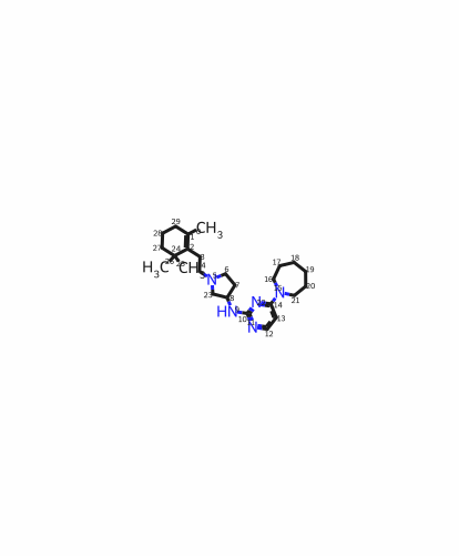 CC1=C(CCN2CCC(Nc3nccc(N4CCCCCC4)n3)C2)C(C)(C)CCC1